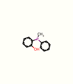 C[P@@](c1ccccc1)c1ccccc1O